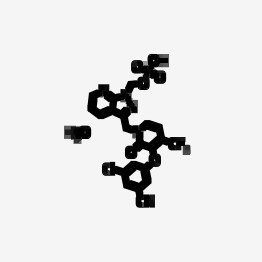 N#Cc1cc(Cl)cc(Oc2c(C(F)(F)F)ccn(Cc3nn(COP(=O)([O-])O)c4ncccc34)c2=O)c1.O.[K+]